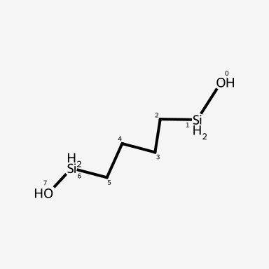 O[SiH2]CCCC[SiH2]O